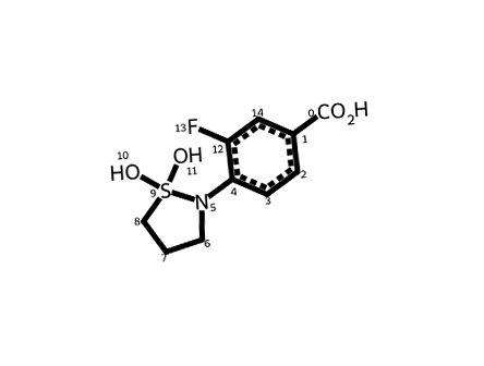 O=C(O)c1ccc(N2CCCS2(O)O)c(F)c1